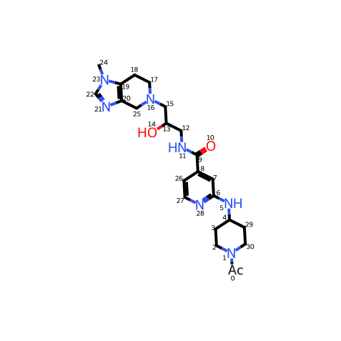 CC(=O)N1CCC(Nc2cc(C(=O)NCC(O)CN3CCc4c(ncn4C)C3)ccn2)CC1